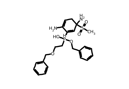 CS(=O)(=O)C1(N)C=C([PH](O)(CCOCc2ccccc2)OCc2ccccc2)C(N)=CC1